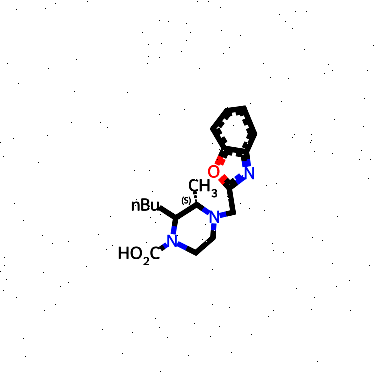 CCCCC1[C@H](C)N(Cc2nc3ccccc3o2)CCN1C(=O)O